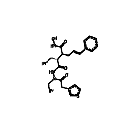 CC(C)C[C@@H](C(=O)NN(CC(C)C)C(=O)Cc1ccsc1)[C@H](CC=Cc1ccccc1)C(=O)NO